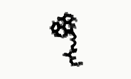 CCOC(=O)CNC(=O)NCCOCC1=C(C(=O)OCC)C(c2ccccc2Cl)C(C(=O)OC)=C(C)N1